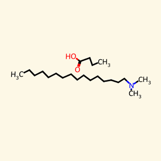 CCCC(=O)O.CCCCCCCCCCCCCCCCN(C)C